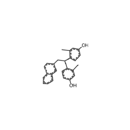 Cc1cc(O)ccc1C(Cc1ccc2ccccc2c1)c1ccc(O)cc1C